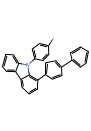 Ic1ccc(-n2c3ccccc3c3cccc(-c4ccc(-c5ccccc5)cc4)c32)cc1